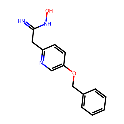 N=C(Cc1ccc(OCc2ccccc2)cn1)NO